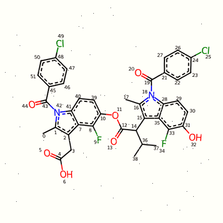 Cc1c(CC(=O)O)c2c(F)c(OC(=O)C(c3c(C)n(C(=O)c4ccc(Cl)cc4)c4ccc(O)c(F)c34)C(C)C)ccc2n1C(=O)c1ccc(Cl)cc1